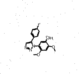 COc1cc(OC)c(-n2nncc2-c2ccc(F)cc2)cc1O